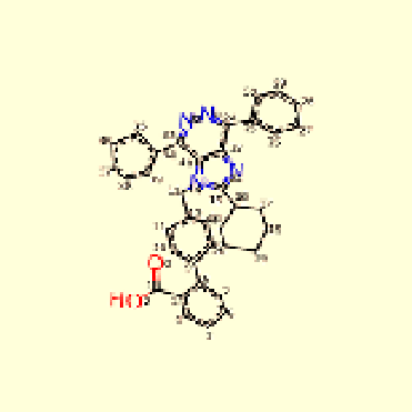 O=C(O)c1ccccc1-c1ccc(Cn2c(C3CCCCC3)nc3c(-c4ccccc4)nnc(-c4ccccc4)c32)cc1